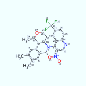 Cc1ccc(CN(c2c([N+](=O)[O-])cnc3ccc(C(F)(F)F)cc23)[C@@H]2CCO[C@H](C)C2)cc1C